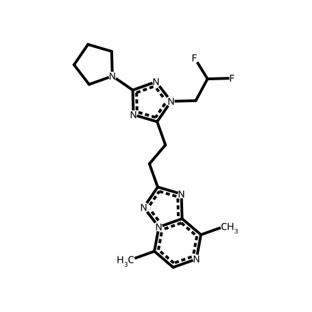 Cc1ncc(C)n2nc(CCc3nc(N4CCCC4)nn3CC(F)F)nc12